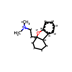 CN(C)CCC12CCCCC1c1ccccc1O2